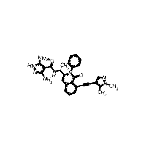 CNc1[nH]nc(N)c1C(=O)N[C@H](C)c1cc2cccc(C#Cc3cnn(C)c3C)c2c(=O)n1-c1ccccc1